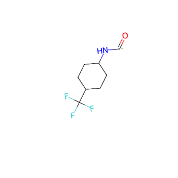 O=[C]NC1CCC(C(F)(F)F)CC1